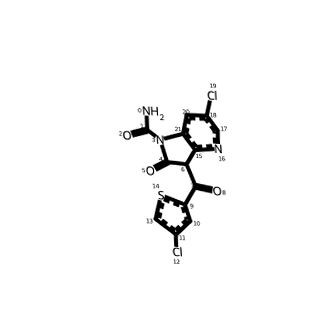 NC(=O)N1C(=O)C(C(=O)c2cc(Cl)cs2)c2ncc(Cl)cc21